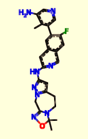 Cc1c(N)cncc1-c1cc2cc(Nc3cc4n(n3)CC3=NOC(C)(C)N3CC4)ncc2cc1F